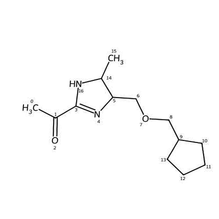 CC(=O)C1=NC(COCC2CCCC2)C(C)N1